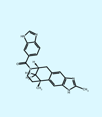 Cc1nc2cc3c(cc2[nH]1)[C@]1(C)CCN(C(=O)c2ccc4nc[nH]c4c2)[C@H](C3)C1(C)C